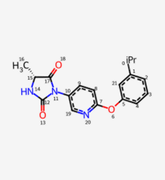 CC(C)c1cccc(Oc2ccc(N3C(=O)N[C@H](C)C3=O)cn2)c1